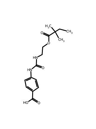 CCC(C)(C)C(=O)OCCNC(=O)Nc1ccc(C(=O)O)cc1